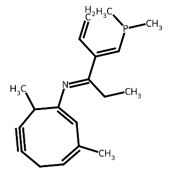 C=CC(=C\P(C)C)/C(CC)=N/C1=C/C(C)=C\CC#CC1C